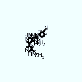 CCN(C)C1(c2n[nH]c3ncc(-c4cncc(CNC)c4)cc23)Nc2ccc(C#N)cc2N1